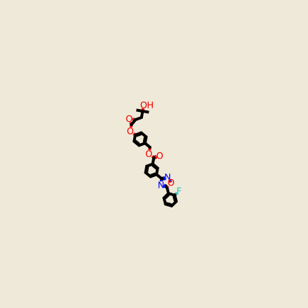 CC(C)(O)CC1OC1Oc1ccc(COC(=O)c2cccc(-c3noc(-c4ccccc4F)n3)c2)cc1